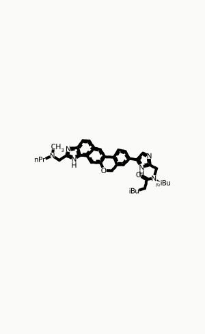 CCCN(C)Cc1nc2ccc3cc4c(cc3c2[nH]1)OCc1cc(-c2cnc(CN(C(=O)CC(C)CC)[C@@H](C)CC)[nH]2)ccc1-4